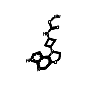 CC(C)(C)OC(=O)N[C@H]1C[C@@H](N2CCOc3cnc4[nH]ccc4c32)C1